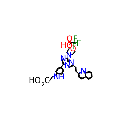 O=C(O)C(F)(F)F.O=C(O)CCNc1ccc(-c2cnc(N3CCOCC3)c3nc(C=Cc4ccc5ccccc5n4)cn23)cc1